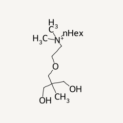 CCCCCC[N+](C)(C)CCOCC(C)(CO)CO